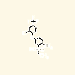 CCP(=O)(O)c1cc(Oc2ccc(C(F)(F)F)cc2Cl)ccc1N